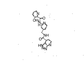 O=C(Nc1cc(CNC(=O)c2ccnc3nn[nH]c23)ccn1)c1ncccc1O